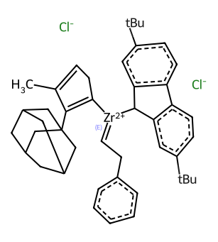 CC1=CC[C](/[Zr+2](=[CH]/Cc2ccccc2)[CH]2c3cc(C(C)(C)C)ccc3-c3ccc(C(C)(C)C)cc32)=C1C12CC3CC(CC(C3)C1)C2.[Cl-].[Cl-]